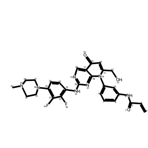 C=CC(=O)Nc1cccc(-n2c(CO)cc(=O)c3cnc(Nc4ccc(N5CCN(C)CC5)c(F)c4F)nc32)c1